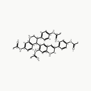 CC(=O)Oc1ccc(C2=Cc3cc(C4c5ccc(OC(C)=O)cc5OCC4c4ccc(OC(C)=O)cc4)c(OC(C)=O)cc3OC2)cc1